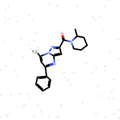 CC1CCCCN1C(=O)c1cc2nc(-c3ccccc3)cc(C(F)(F)F)n2n1